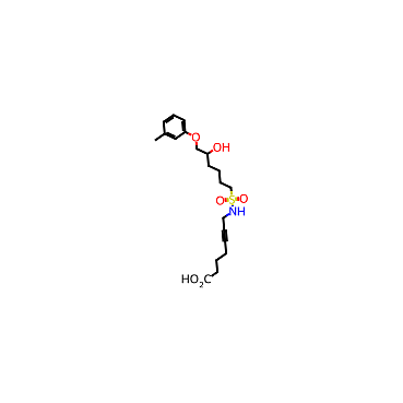 Cc1cccc(OCC(O)CCCCS(=O)(=O)NCC#CCCCC(=O)O)c1